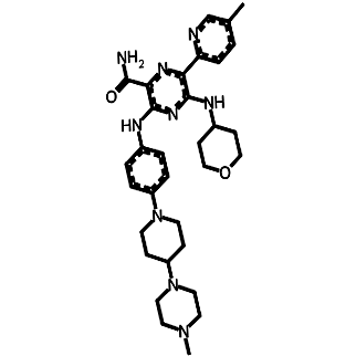 Cc1ccc(-c2nc(C(N)=O)c(Nc3ccc(N4CCC(N5CCN(C)CC5)CC4)cc3)nc2NC2CCOCC2)nc1